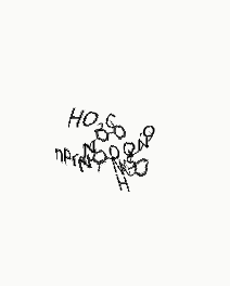 CCCc1nc2c(C)cc(C(=O)N[C@@H](CSC(=O)CN3CCOCC3)Cc3ccccc3)cc2n1Cc1ccc(-c2ccccc2C(=O)O)cc1